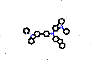 c1ccc(-n2c3ccccc3c3cc(-c4ccc(N(c5ccc6c(c5)Cc5ccccc5-6)c5ccc6c7ccccc7n(-c7ccccc7)c6c5)cc4)ccc32)cc1